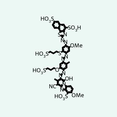 COc1cc(N=Nc2cc(OCCCS(=O)(=O)O)c(N=Nc3c(C)c(C#N)c4nc5c(S(=O)(=O)O)c(OC)ccc5n4c3O)cc2C)c(SCCCS(=O)(=O)O)cc1N=Nc1nc2c(S(=O)(=O)O)cc3cc(S(=O)(=O)O)ccc3c2s1